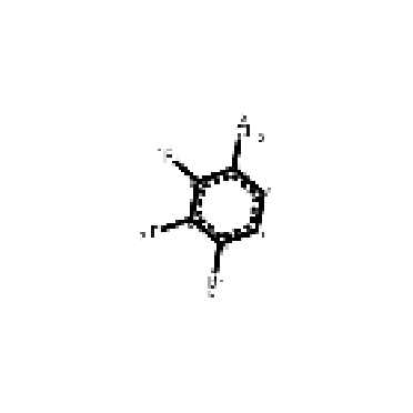 [CH2]c1ccc(Br)c(F)c1F